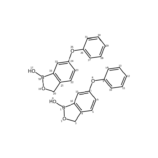 OB1OCc2ccc(Oc3ccccc3)cc21.OB1OCc2ccc(Oc3ccccc3)cc21